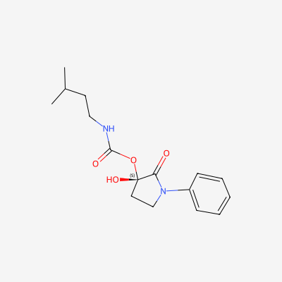 CC(C)CCNC(=O)O[C@@]1(O)CCN(c2ccccc2)C1=O